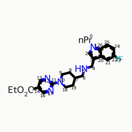 CCCn1cc(CNCC2CCN(c3ncc(C(=O)OCC)cn3)CC2)c2cc(F)ccc21